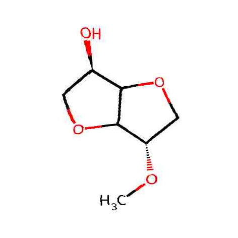 CO[C@H]1COC2C1OC[C@H]2O